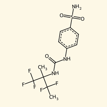 CC(F)(F)C(C)(NC(=O)Nc1ccc(S(N)(=O)=O)cc1)C(F)(F)F